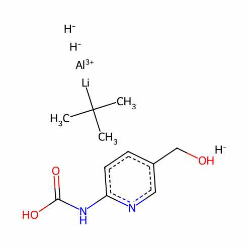 O=C(O)Nc1ccc(CO)cn1.[Al+3].[H-].[H-].[H-].[Li][C](C)(C)C